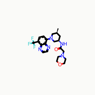 C[C@H]1C[C@@H](NC(=O)CN2CCOCC2)CN(c2ccc(C(F)(F)F)c3nccnc23)C1